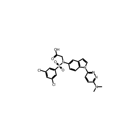 CN(C)c1ccc(-n2ccc3cc(N(CC(=O)O)S(=O)(=O)c4cc(Cl)cc(Cl)c4)ccc32)nn1